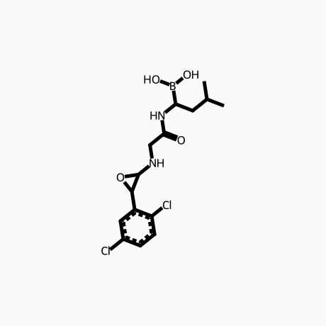 CC(C)CC(NC(=O)CNC1OC1c1cc(Cl)ccc1Cl)B(O)O